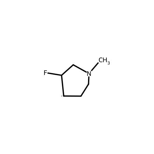 CN1CC[CH]C(F)C1